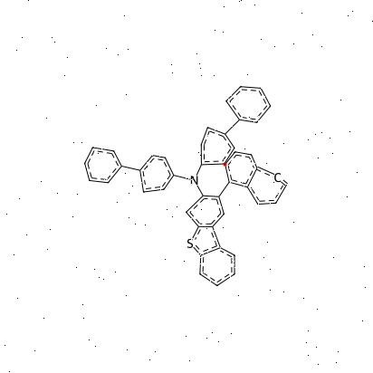 c1ccc(-c2ccc(N(c3ccc(-c4ccccc4)cc3)c3cc4sc5ccccc5c4cc3-c3cccc4ccccc34)cc2)cc1